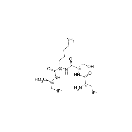 CC(C)C[C@H](NC(=O)[C@H](CCCCN)NC(=O)[C@H](CO)NC(=O)[C@@H](N)CC(C)C)C(=O)O